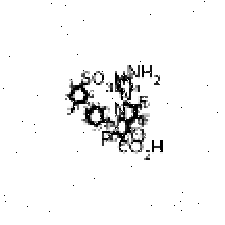 Cc1ccc(S(=O)(=O)O)cc1.NC1CCN(c2nc3c(c(F)c2F)c(=O)c(C(=O)O)c(F)n3-c2ccccc2)C1